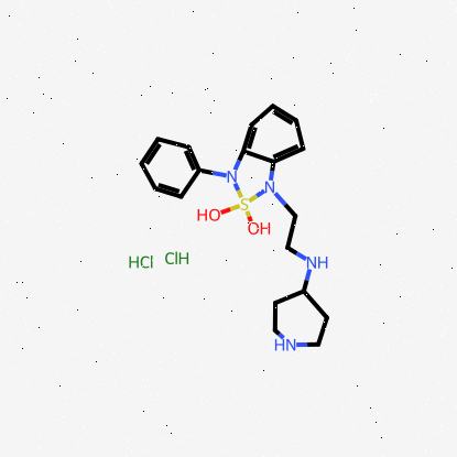 Cl.Cl.OS1(O)N(CCNC2CCNCC2)c2ccccc2N1c1ccccc1